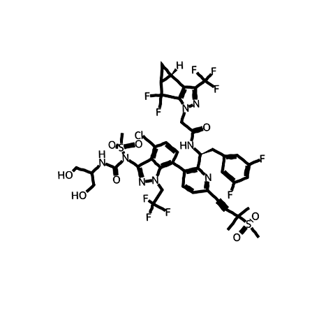 CC(C)(C#Cc1ccc(-c2ccc(Cl)c3c(N(C(=O)NC(CO)CO)S(C)(=O)=O)nn(CC(F)(F)F)c23)c([C@H](Cc2cc(F)cc(F)c2)NC(=O)Cn2nc(C(F)(F)F)c3c2C(F)(F)C2C[C@H]32)n1)S(C)(=O)=O